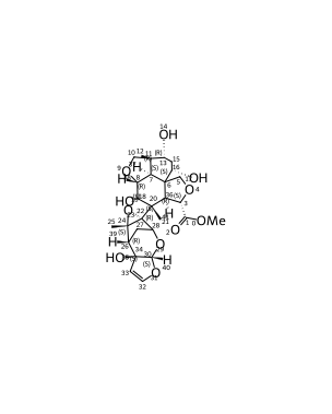 COC(=O)[C@H]1OCC23[C@H]4[C@@H](OC[C@]4(C)[C@H](O)C[C@@H]2O)[C@@H](O)[C@@](C)([C@]24O[C@@]2(C)[C@@H]2CC4O[C@@H]4OC=C[C@@]42O)[C@H]13